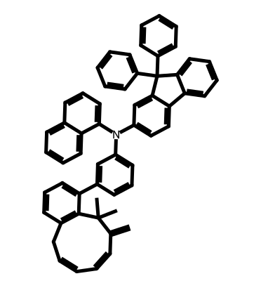 C=C1/C=C\C=C/Cc2cccc(-c3cccc(N(c4ccc5c(c4)C(c4ccccc4)(c4ccccc4)c4ccccc4-5)c4cccc5ccccc45)c3)c2C1(C)C